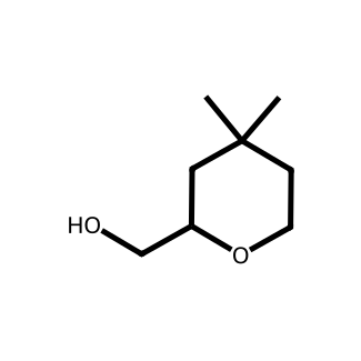 CC1(C)CCOC(CO)C1